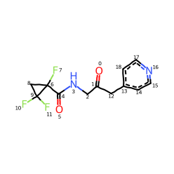 O=C(CNC(=O)C1(F)CC1(F)F)Cc1ccncc1